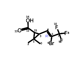 CC1(C)C(/C=C(\Br)C(F)(F)F)C1C(=O)O